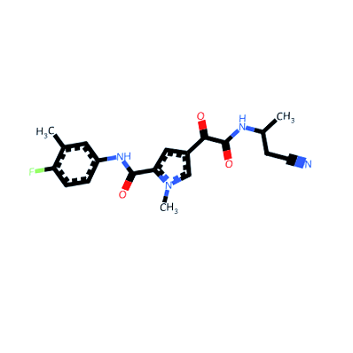 Cc1cc(NC(=O)c2cc(C(=O)C(=O)NC(C)CC#N)cn2C)ccc1F